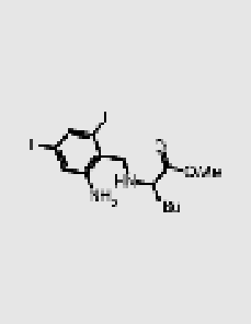 CCC(C)C(NCc1c(N)cc(F)cc1F)C(=O)OC